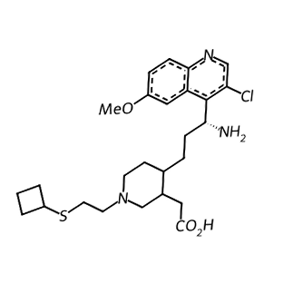 COc1ccc2ncc(Cl)c([C@H](N)CCC3CCN(CCSC4CCC4)CC3CC(=O)O)c2c1